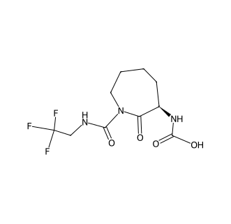 O=C(O)N[C@@H]1CCCCN(C(=O)NCC(F)(F)F)C1=O